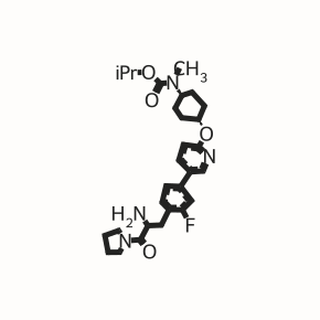 CC(C)OC(=O)N(C)[C@H]1CC[C@H](Oc2ccc(-c3ccc(CC(N)C(=O)N4CCCC4)c(F)c3)cn2)CC1